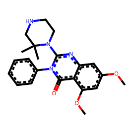 COc1cc(OC)c2c(=O)n(-c3ccccc3)c(N3CCNCC3(C)C)nc2c1